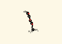 CCCCc1ccc(C2CCC(/C=C/C3CCC(c4ccc(CCCOc5cc(N)cc(N)c5)cc4)CC3)CC2)cc1